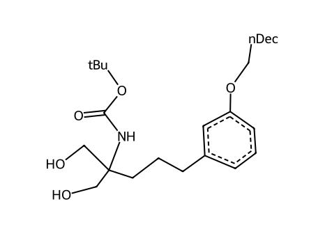 CCCCCCCCCCCOc1cccc(CCCC(CO)(CO)NC(=O)OC(C)(C)C)c1